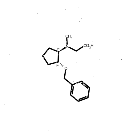 CN(CC(=O)O)[C@@H]1CCC[C@H]1OCc1ccccc1